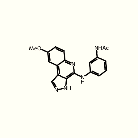 COc1ccc2nc(Nc3cccc(NC(C)=O)c3)c3[nH]ncc3c2c1